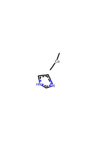 [CH3][Co][CH3].c1c[nH]cn1